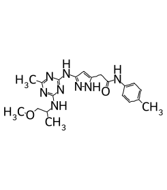 COCC(C)Nc1nc(C)nc(Nc2cc(CC(=O)Nc3ccc(C)cc3)[nH]n2)n1